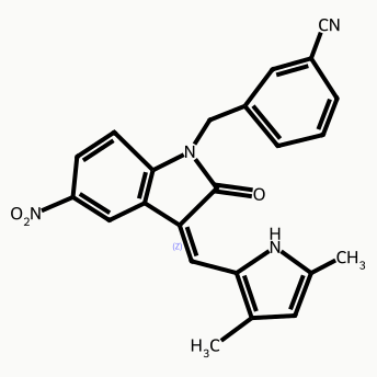 Cc1cc(C)c(/C=C2\C(=O)N(Cc3cccc(C#N)c3)c3ccc([N+](=O)[O-])cc32)[nH]1